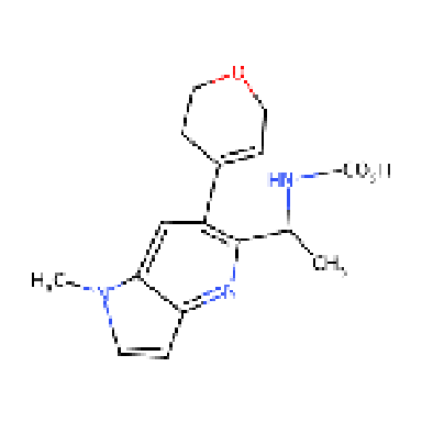 CC(NC(=O)O)c1nc2ccn(C)c2cc1C1=CCOCC1